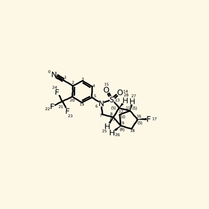 N#Cc1ccc(N2C[C@H]3[C@@H]4C[C@H]([C@H]3S2(=O)=O)[C@@H](F)C4)cc1C(F)(F)F